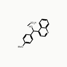 COc1ccc(C(O)c2ccnc3ccccc23)cc1.CS(=O)(=O)O